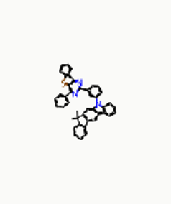 CC1(C)c2ccccc2-c2cc3c4ccccc4n(-c4cccc(-c5nc(-c6ccccc6)c6sc7ccccc7c6n5)c4)c3cc21